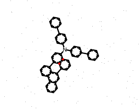 c1ccc(-c2ccc(N(c3ccc(-c4ccccc4)cc3)c3ccc(-c4cccc5c4c(-c4ccccc4)cc4ccccc45)cc3)cc2)cc1